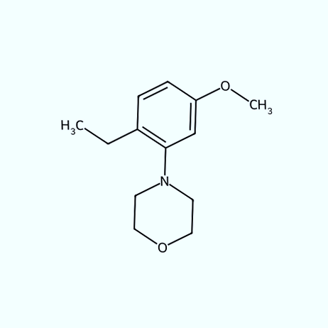 CCc1ccc(OC)cc1N1CCOCC1